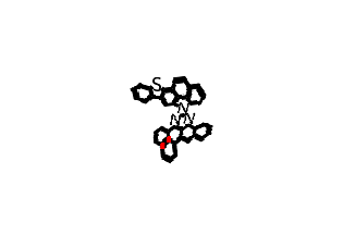 c1ccc(-c2nc(-n3c4cccc5ccc6c7sc8ccccc8c7cc3c6c54)nc3c2C(c2ccccc2)Cc2ccccc2-3)cc1